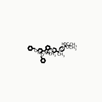 CC(C1CCN(c2cccc3c(-c4ccc(OCc5ccccc5)nc4OCc4ccccc4)nn(C)c23)CC1)N1CCN(C(=O)OC(C)(C)C)CC1